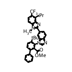 COC(=O)c1c(-c2ccccc2)ccc(C(C)(C)C)c1-n1cnc2ccc(-c3nc4c(C(C)C)c(C(F)(F)F)ccc4n3C)cc21